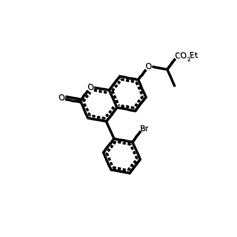 CCOC(=O)C(C)Oc1ccc2c(-c3ccccc3Br)cc(=O)oc2c1